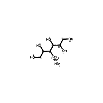 Br.Br.OCC(O)C(O)C(O)C(O)CO